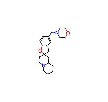 c1cc2c(cc1CN1CCOCC1)CC1(CCN3CCCCC3C1)O2